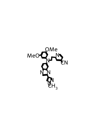 COc1cc(OC)cc(N(CCc2cc(C#N)ccn2)c2ccc3ncc(-c4cnn(C)c4)nc3c2)c1